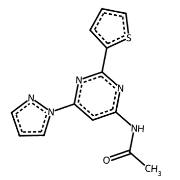 CC(=O)Nc1cc(-n2cccn2)nc(-c2cccs2)n1